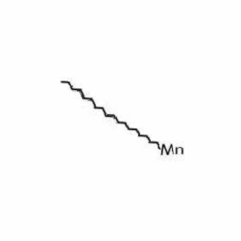 CCCCCCCCCCCCCCCCCC[CH2][Mn]